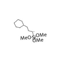 CO[Si]([CH]CCC1CCCCC1)(OC)OC